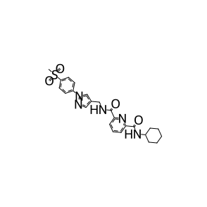 CS(=O)(=O)c1ccc(-n2cc(CNC(=O)c3cccc(C(=O)NC4CCCCC4)n3)cn2)cc1